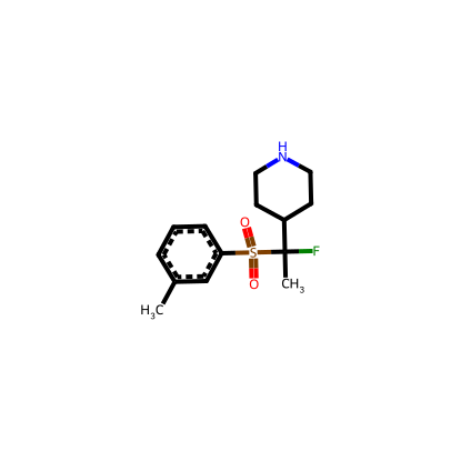 Cc1cccc(S(=O)(=O)C(C)(F)C2CCNCC2)c1